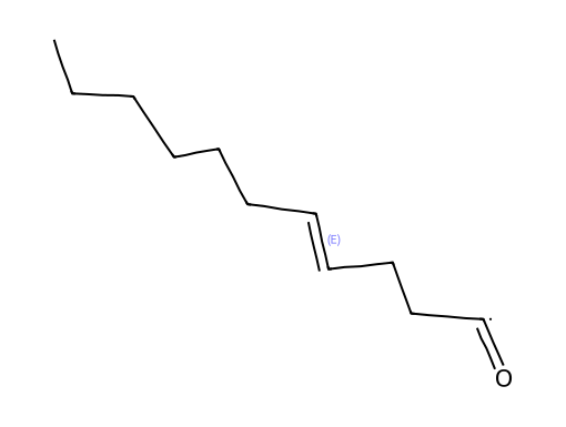 CCCCCC/C=C/CC[C]=O